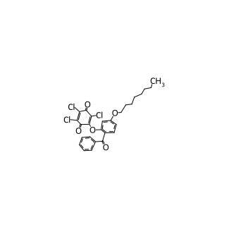 CCCCCCCCOc1ccc(C(=O)c2ccccc2)c(OC2=C(Cl)C(=O)C(Cl)=C(Cl)C2=O)c1